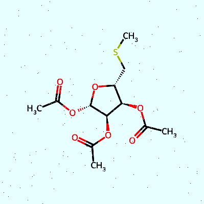 CSC[C@H]1O[C@@H](OC(C)=O)[C@H](OC(C)=O)[C@@H]1OC(C)=O